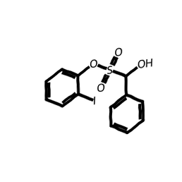 O=S(=O)(Oc1ccccc1I)C(O)c1ccccc1